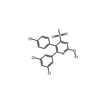 CCOc1nc(-c2cc(Cl)cc(Cl)c2)c(-c2ccc(Cl)cc2)c(S(C)(=O)=O)n1